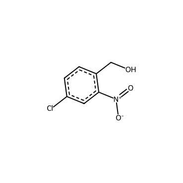 O=[N+]([O-])c1cc(Cl)ccc1CO